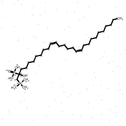 CCCCCCCCCC/C=C\CCCC/C=C\CCCCCCCCC(O)(C[N+](C)(C)C)P(=O)(O)O